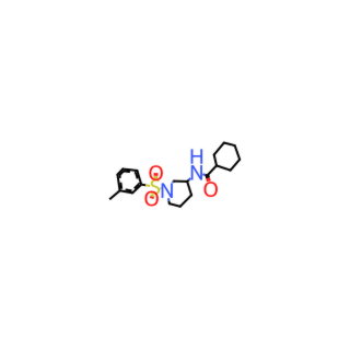 Cc1cccc(S(=O)(=O)N2CCCC(NC(=O)C3CCCCC3)C2)c1